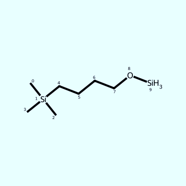 C[Si](C)(C)CCCCO[SiH3]